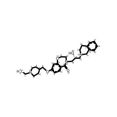 CCN1CCC(COc2ccc3c(c2)OCCN(C[C@H](O)CN2CCc4ccccc4C2)C3=O)CC1